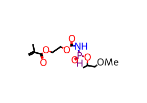 C=C(C)C(=O)OCCOC(=O)N[PH](=O)OC(C)COC